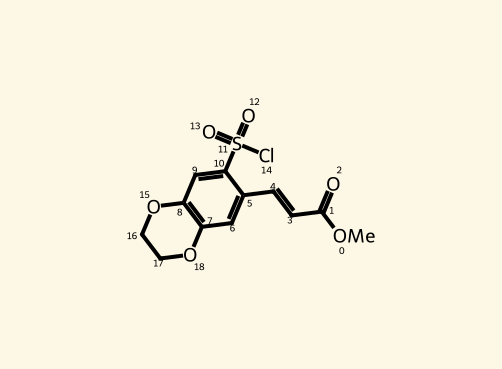 COC(=O)C=Cc1cc2c(cc1S(=O)(=O)Cl)OCCO2